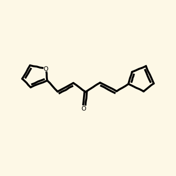 O=C(/C=C/C1=CC=CC1)/C=C/c1ccco1